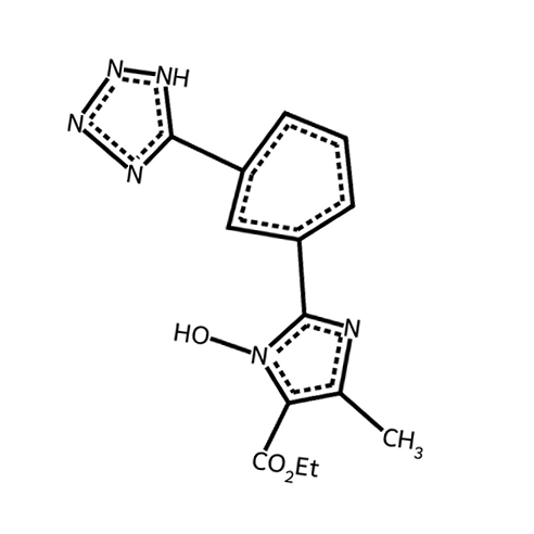 CCOC(=O)c1c(C)nc(-c2cccc(-c3nnn[nH]3)c2)n1O